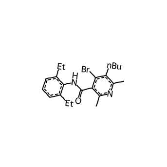 CCCCc1c(C)nc(C)c(C(=O)Nc2c(CC)cccc2CC)c1Br